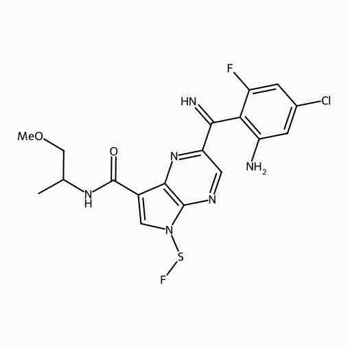 COCC(C)NC(=O)c1cn(SF)c2ncc(C(=N)c3c(N)cc(Cl)cc3F)nc12